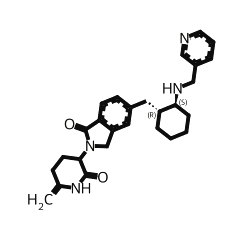 C=C1CCC(N2Cc3cc(C[C@H]4CCCC[C@@H]4NCc4cccnc4)ccc3C2=O)C(=O)N1